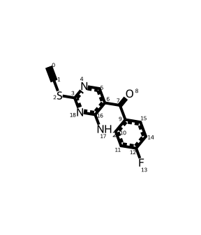 C#CSc1ncc(C(=O)c2ccc(F)cc2)c(N)n1